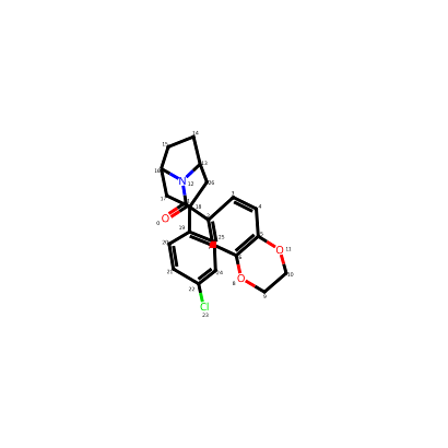 O=C(c1ccc2c(c1)OCCO2)N1C2CCC1CC(c1ccc(Cl)cc1)C2